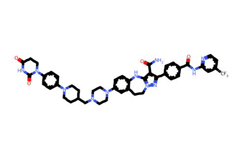 NC(=O)c1c(-c2ccc(C(=O)Nc3cc(C(F)(F)F)ccn3)cc2)nn2c1Nc1ccc(N3CCN(CC4CCN(c5ccc(N6CCC(=O)NC6=O)cc5)CC4)CC3)cc1CC2